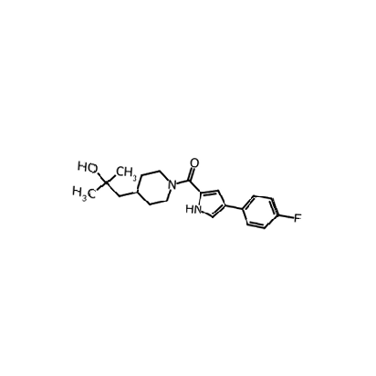 CC(C)(O)CC1CCN(C(=O)c2cc(-c3ccc(F)cc3)c[nH]2)CC1